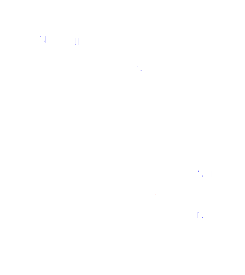 CNC(=O)Nc1ccc2[nH]c3c(c2c1)CCc1cn[nH]c1-3